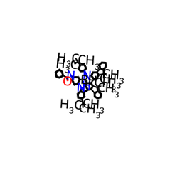 CC(C)(C)c1ccc(Nc2cc3c(cc2-c2c4c(c5c6cc(C(C)(C)C)ccc6n6c5c2Bc2cc5nc(-c7ccccc7)oc5cc2-6)-c2ccccc2C4(C)C)C(C)(C)c2ccccc2-3)cc1